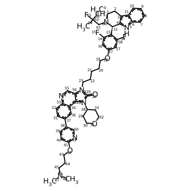 C[C@@H]1Cc2c([nH]c3ccccc23)[C@@H](c2c(F)cc(OCCCCCn3c(=O)n(C4CCOCC4)c4c5cc(-c6ccc(OCCCN(C)C)nc6)ccc5ncc43)cc2F)N1CC(C)(C)F